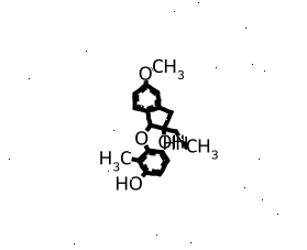 CNCC1(O)Cc2cc(OC)ccc2C1Oc1cccc(O)c1C